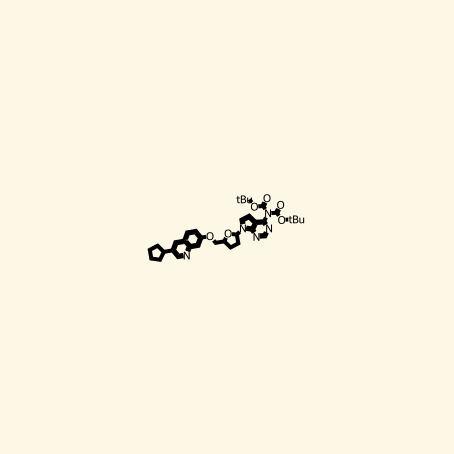 CC(C)(C)OC(=O)N(C(=O)OC(C)(C)C)c1ncnc2c1ccn2C1CCC(COc2ccc3cc(C4CCCC4)cnc3c2)O1